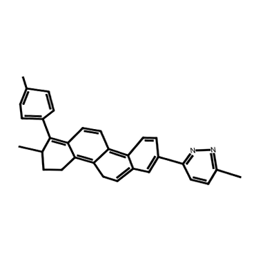 Cc1ccc(C2=c3ccc4c(c3CCC2C)CC=c2cc(-c3ccc(C)nn3)ccc2=4)cc1